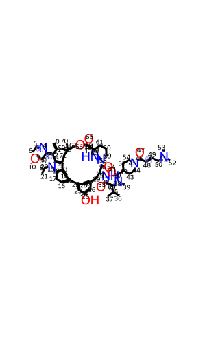 C=C/C(=C(\N=C/C)[C@H](C)OC)c1c2c3cc(ccc3n1CC)-c1cc(O)cc(c1)C[C@H](NC(=O)[C@H](C(C)C)N(C)C(=O)C1CCN(C(=O)/C=C/CN(C)C)CC1)C(=O)N1CCC[C@H](N1)C(=O)OCC(C)(C)C2